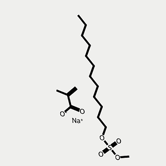 C=C(C)C(=O)[O-].CCCCCCCCCCCCOS(=O)(=O)OC.[Na+]